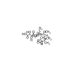 COC(C)NC(C)OC.COC(C)NC(C)OC.O=C(O)C(O)C(O)C(=O)O